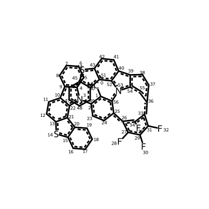 N#Cc1c(-n2c3ccccc3c3ccc4sc5ccccc5c4c32)ccc2c3c(F)c(F)c(F)c(c3F)c3ccc4c5ccc6sc7ccccc7c6c5n(c4c3)c12